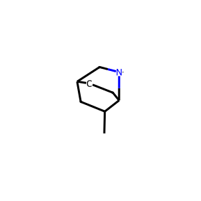 CC1CC2CCC1[N]C2